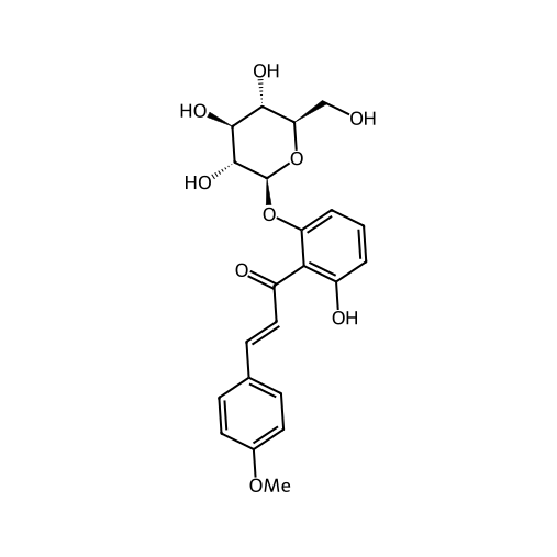 COc1ccc(C=CC(=O)c2c(O)cccc2O[C@@H]2O[C@H](CO)[C@@H](O)[C@H](O)[C@H]2O)cc1